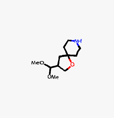 COC(OC)C1COC2(CCNCC2)C1